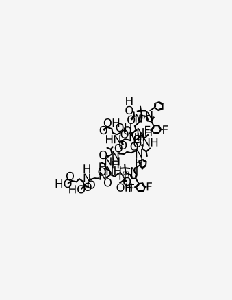 CC(NC(=O)C(NC(=O)CCCC(=O)NC(C(=O)NC(C)C(=O)NC(CCN(C(=O)CO)[C@@H](c1cc(-c2cc(F)ccc2F)cn1Cc1ccccc1)C(C)(C)C)C(=O)NCCC(=O)NC(CCC(=O)O)C(=O)O)C(C)C)C(C)C)C(=O)NC(CCN(C(=O)CO)[C@@H](c1cc(-c2cc(F)ccc2F)cn1Cc1ccccc1)C(C)(C)C)C(=O)NCCC(=O)NC(CCC(=O)O)C(=O)O